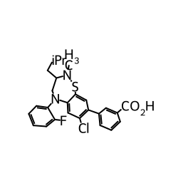 CC(C)CC1CN(c2ccccc2F)c2cc(Cl)c(-c3cccc(C(=O)O)c3)cc2SN1C